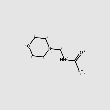 NC(=O)N[CH]N1CCOCC1